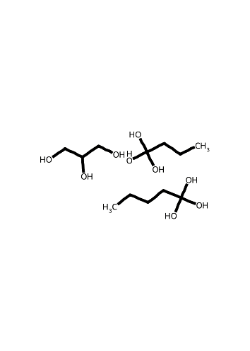 CCCC(O)(O)O.CCCCC(O)(O)O.OCC(O)CO